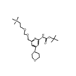 CC(C)(C)OC(=O)Nc1cc(N2CCOCC2)cc(COCOCC[Si](C)(C)C)n1